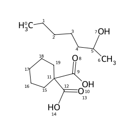 CCCCCC(C)O.O=C(O)C1(C(=O)O)CCCCC1